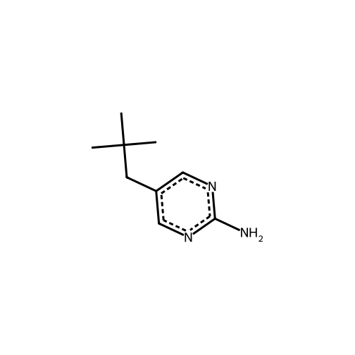 CC(C)(C)Cc1cnc(N)nc1